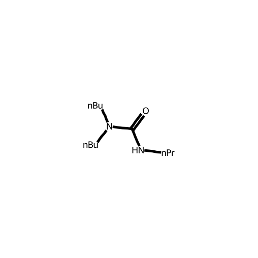 CCCCN(CCCC)C(=O)NCCC